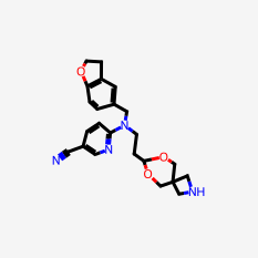 N#Cc1ccc(N(CCC2OCC3(CNC3)CO2)Cc2ccc3c(c2)CCO3)nc1